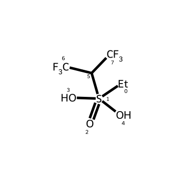 CCS(=O)(O)(O)C(C(F)(F)F)C(F)(F)F